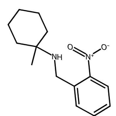 CC1(NCc2ccccc2[N+](=O)[O-])CCCCC1